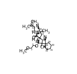 COCCOC(=O)C(C)(CC(C)(CC(C)(C)C#N)C(=O)OCCN(C)C)C1(C#N)CCCCC1